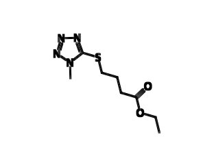 CCOC(=O)CCCSc1nnnn1C